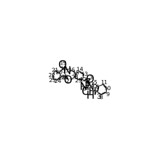 CN=S(=O)(NCc1ccccc1)c1ccc(CN2C(=O)c3ccccc3C2=O)cc1